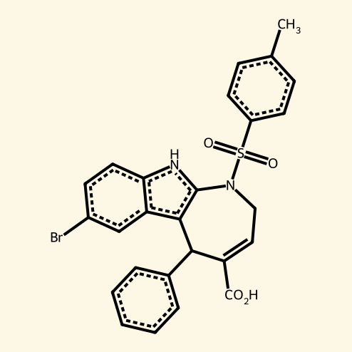 Cc1ccc(S(=O)(=O)N2CC=C(C(=O)O)C(c3ccccc3)c3c2[nH]c2ccc(Br)cc32)cc1